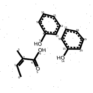 CC=C(C)C(=O)O.Oc1ccccc1.Oc1ccccc1